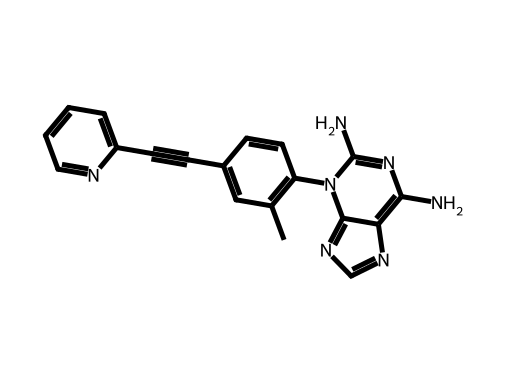 Cc1cc(C#Cc2ccccn2)ccc1-n1c(N)nc(N)c2ncnc1-2